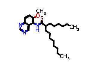 CCCCCCCCC(CCCCCC)C(=S)Nc1c(OC)ccc2ncncc12